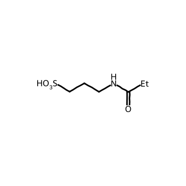 CCC(=O)NCCCS(=O)(=O)O